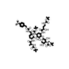 CC(NC(=O)OC(C)(C)C)C(=O)N[C@@H]1CC=C(CNC(=O)OCc2ccc([N+](=O)[O-])cc2)O[C@@H]1O[C@H]1[C@H](O)[C@@H](O[C@H]2OC[C@](C)(O)[C@H](N(C)C(=O)OC(C)(C)C)[C@H]2O)[C@H](NC(=O)[C@@H](O)CCNC(=O)OC(C)(C)C)C[C@@H]1NC(=O)OC(C)(C)C